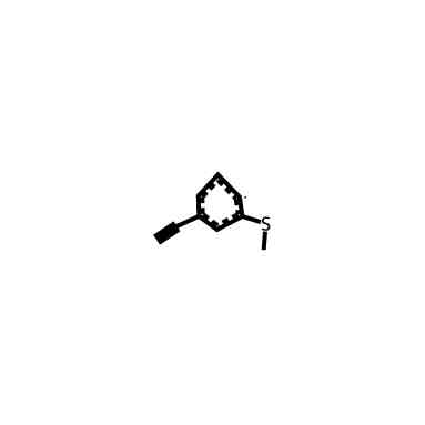 C#Cc1cc[c]c(SC)c1